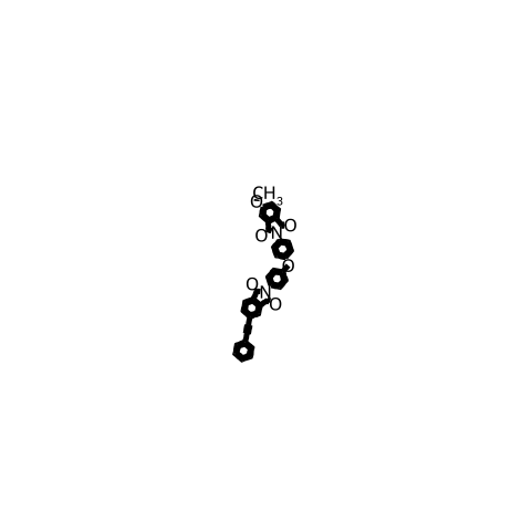 COc1ccc2c(c1)C(=O)N(c1ccc(Oc3ccc(N4C(=O)c5ccc(C#Cc6ccccc6)cc5C4=O)cc3)cc1)C2=O